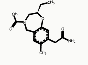 CC[C@@H]1CN(C(=O)O)Cc2cc(C)c(CC(N)=O)cc2O1